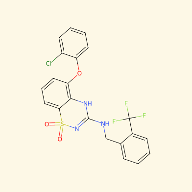 O=S1(=O)N=C(NCc2ccccc2C(F)(F)F)Nc2c(Oc3ccccc3Cl)cccc21